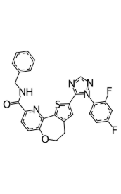 O=C(NCc1ccccc1)c1ccc2c(n1)-c1sc(-c3ncnn3-c3ccc(F)cc3F)cc1CCO2